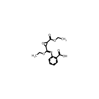 CCOC(=O)C1OC1C(=Nc1ccccc1C(=O)O)OCC